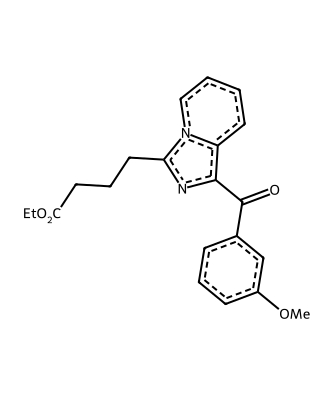 CCOC(=O)CCCc1nc(C(=O)c2cccc(OC)c2)c2ccccn12